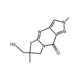 Cn1cc2nc3n(c(=O)c2n1)CC(C)(CS)S3